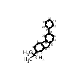 CC(C)(C)c1ccc2c(c1)Cc1ccc(-c3ccccc3)cc1-2